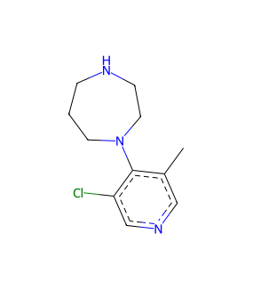 Cc1cncc(Cl)c1N1CCCNCC1